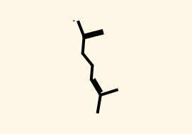 [CH2]C(=C)CCC=C(C)C